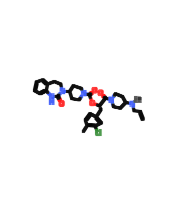 C=CCN(CC)C1CCN(C(=O)[C@@H](Cc2ccc(C)c(Cl)c2)OC(=O)N2CCC(N3CCc4ccccc4NC3=O)CC2)CC1